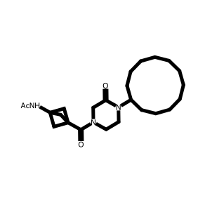 CC(=O)NC12CC(C(=O)N3CCN(C4CCCCCCCCCCC4)C(=O)C3)(C1)C2